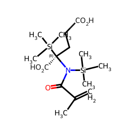 C=C(C)C(=O)N([C@@](CCC(=O)O)(C(=O)O)[Si](C)(C)C)[Si](C)(C)C